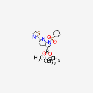 CC1(C)OB(c2cn(S(=O)(=O)c3ccccc3)c3nc(-c4nccs4)ccc23)OC1(C)C